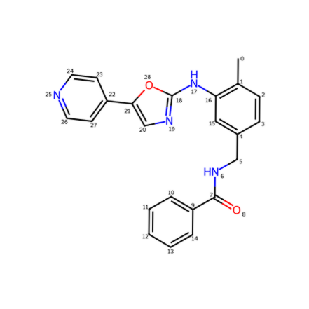 Cc1ccc(CNC(=O)c2ccccc2)cc1Nc1ncc(-c2ccncc2)o1